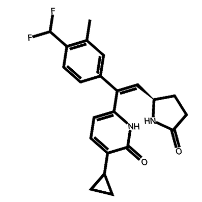 Cc1cc(/C(=C/[C@H]2CCC(=O)N2)c2ccc(C3CC3)c(=O)[nH]2)ccc1C(F)F